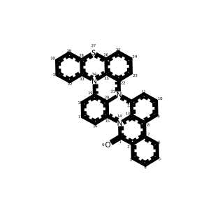 O=c1c2ccccc2c2cccc3c2n1c1cccc2c1-n3c1cccc3sc4ccccc4n2c31